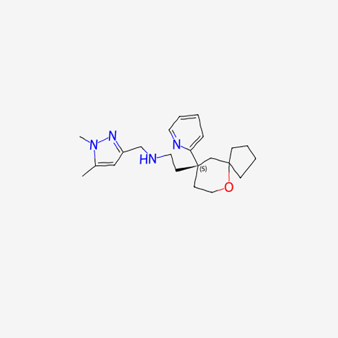 Cc1cc(CNCC[C@]2(c3ccccn3)CCOC3(CCCC3)C2)nn1C